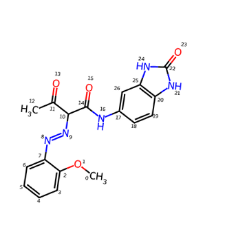 COc1ccccc1N=NC(C(C)=O)C(=O)Nc1ccc2[nH]c(=O)[nH]c2c1